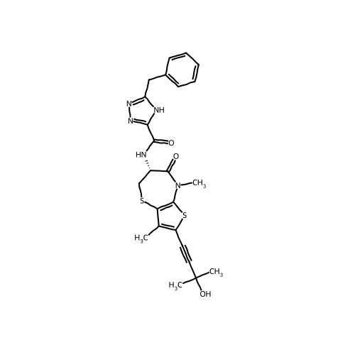 Cc1c(C#CC(C)(C)O)sc2c1SC[C@H](NC(=O)c1nnc(Cc3ccccc3)[nH]1)C(=O)N2C